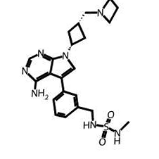 CNS(=O)(=O)NCc1cccc(-c2cn([C@H]3C[C@@H](CN4CCC4)C3)c3ncnc(N)c23)c1